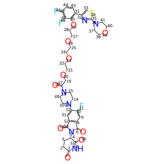 O=C1CCC(N2C(=O)c3cc(F)c(N4CCN(C(=O)COCCOCCOCCOc5c(-c6csc(N7CCOCC7)n6)ccc(F)c5F)CC4)cc3C2=O)C(=O)N1